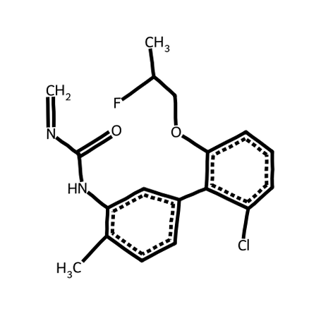 C=NC(=O)Nc1cc(-c2c(Cl)cccc2OCC(C)F)ccc1C